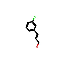 [O]CC=Cc1cccc(Cl)c1